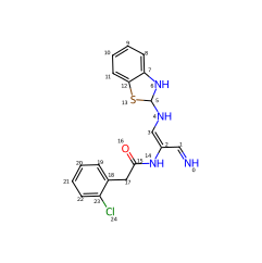 N=C/C(=C\NC1Nc2ccccc2S1)NC(=O)Cc1ccccc1Cl